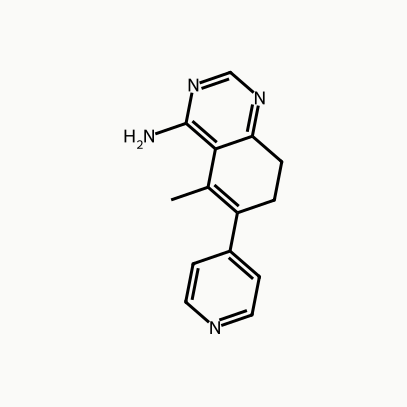 CC1=C(c2ccncc2)CCc2ncnc(N)c21